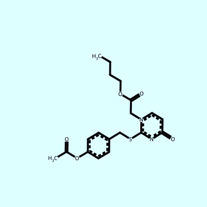 CCCCOC(=O)Cn1ccc(=O)nc1SCc1ccc(OC(C)=O)cc1